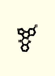 Clc1ccc2nc(Nc3ccccc3Br)c3cncn3c2c1